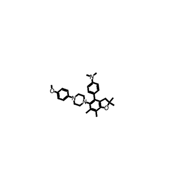 COc1ccc(N2CCN(c3c(C)c(C)c4c(c3-c3ccc(N(C)C)cc3)CC(C)(C)O4)CC2)cc1